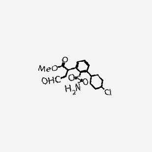 COC(=O)C(CC=O)c1cccc(C2CCC(Cl)CC2)c1S(N)(=O)=O